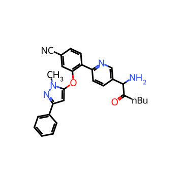 CCCCC(=O)C(N)c1ccc(-c2ccc(C#N)cc2Oc2cc(-c3ccccc3)nn2C)nc1